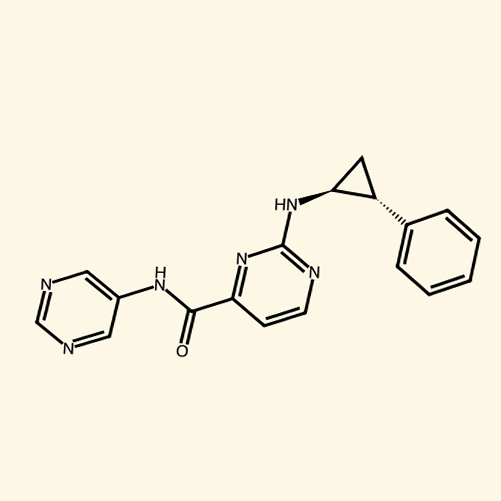 O=C(Nc1cncnc1)c1ccnc(N[C@H]2C[C@@H]2c2ccccc2)n1